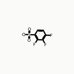 [O]S(=O)(=O)c1ccc(F)c(F)c1F